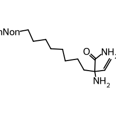 C=CC(N)(CCCCCCCCCCCCCCCCC)C(N)=O